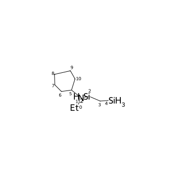 CCN([SiH2]C[SiH3])C1CCCCC1